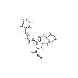 C=C(C#N)CCC1=CC2C=CC=CC2CC=C1/C=C/C=C\C=C\C1=CCCC=C1